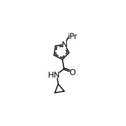 CC(C)n1ccc(C(=O)NC2CC2)c1